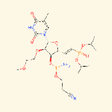 COCCO[C@@H]1[C@H](OP(N)OCCC#N)[C@@H](/C=C/P(=O)(OC(C)C)OC(C)C)O[C@H]1n1cc(C)c(=O)[nH]c1=O